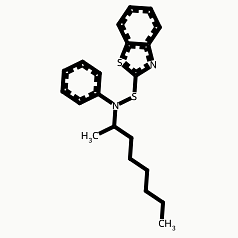 CCCCCCC(C)N(Sc1nc2ccccc2s1)c1ccccc1